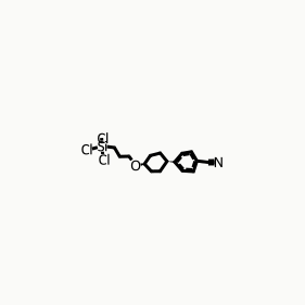 N#Cc1ccc([C@H]2CC[C@H](OCCC[Si](Cl)(Cl)Cl)CC2)cc1